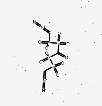 [N-]=[N+]=CS(=O)(=O)S(=O)(=O)C(=O)S(=O)(=O)S(=O)(=O)C=[N+]=[N-]